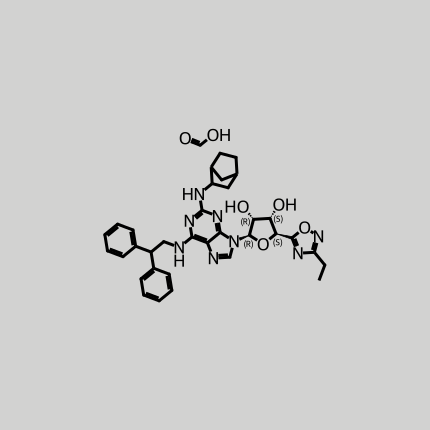 CCc1noc([C@H]2O[C@@H](n3cnc4c(NCC(c5ccccc5)c5ccccc5)nc(NC5CC6CCC5C6)nc43)[C@H](O)[C@@H]2O)n1.O=CO